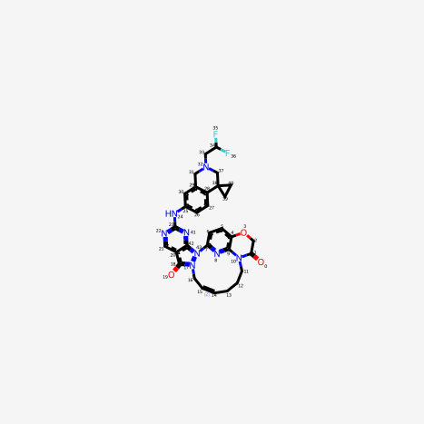 O=C1COc2ccc3nc2N1CCC/C=C\Cn1c(=O)c2cnc(Nc4ccc5c(c4)CN(CC(F)F)CC54CC4)nc2n1-3